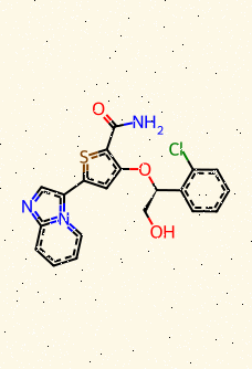 NC(=O)c1sc(-c2cnc3ccccn23)cc1O[C@H](CO)c1ccccc1Cl